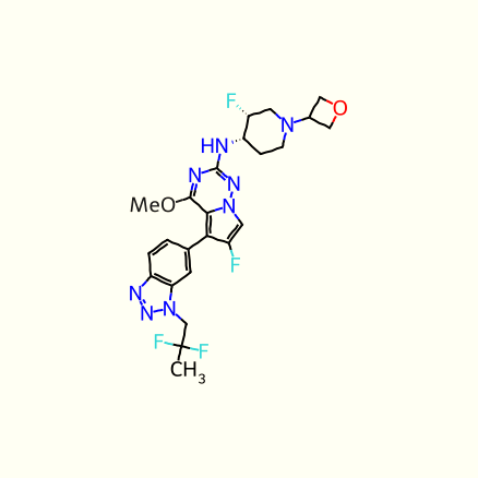 COc1nc(N[C@H]2CCN(C3COC3)C[C@H]2F)nn2cc(F)c(-c3ccc4nnn(CC(C)(F)F)c4c3)c12